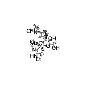 CCNC(=O)c1ncc(Cl)cc1S[C@H]1OC(CO)[C@H](O)C(n2cc(-c3nc(Cl)cs3)nn2)C1OC